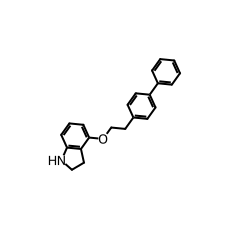 c1ccc(-c2ccc(CCOc3cccc4c3CCN4)cc2)cc1